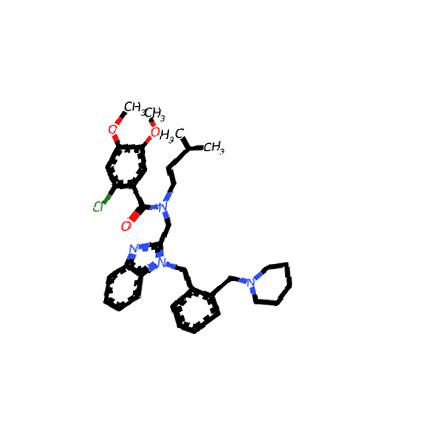 COc1cc(Cl)c(C(=O)N(CCC(C)C)Cc2nc3ccccc3n2Cc2ccccc2CN2CCCCC2)cc1OC